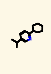 CC(C)c1ccc(C2CCCCC2)nc1